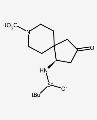 CC(C)(C)[S+]([O-])N[C@@H]1CC(=O)CC12CCN(C(=O)O)CC2